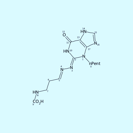 CCCCCn1c(=NN=CCCNC(=O)O)[nH]c(=O)c2[nH]cnc21